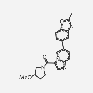 CO[C@@H]1CCN(C(=O)c2cnc3ccc(-c4ccc5oc(C)nc5c4)cn23)C1